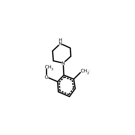 [CH2]c1cccc(OC)c1N1CCNCC1